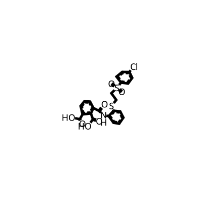 O=C(O)c1cccc(C(=O)Nc2ccccc2SCCS(=O)(=O)c2ccc(Cl)cc2)c1C(=O)O